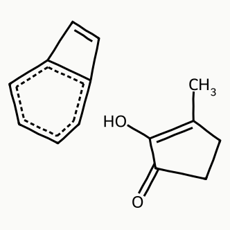 C1=Cc2ccccc21.CC1=C(O)C(=O)CC1